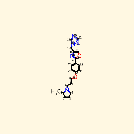 CC1CCCN1CCCOc1ccc(-c2nc(Cn3cncn3)co2)cc1